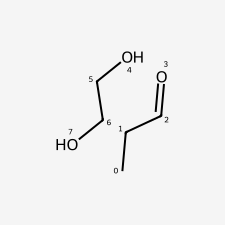 CCC=O.OCCO